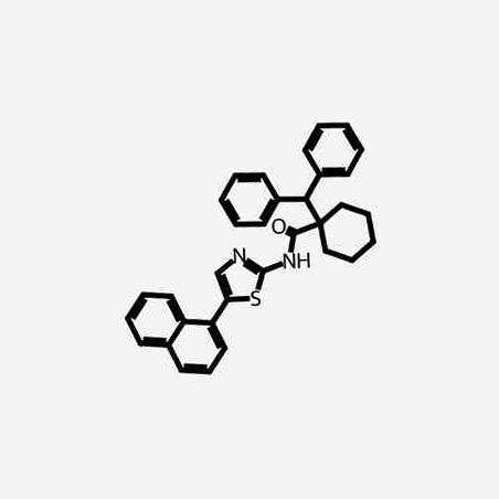 O=C(Nc1ncc(-c2cccc3ccccc23)s1)C1(C(c2ccccc2)c2ccccc2)CCCCC1